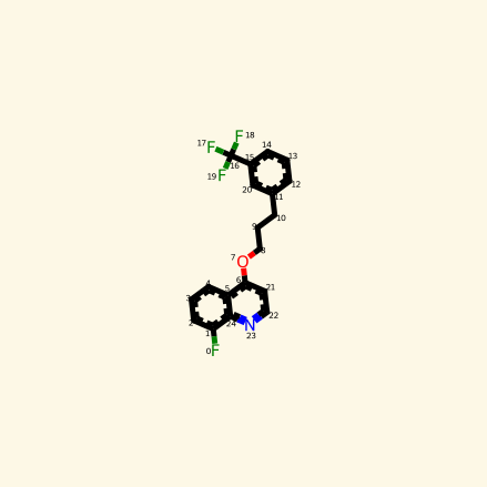 Fc1cccc2c(OCCCc3cccc(C(F)(F)F)c3)ccnc12